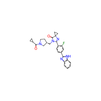 O=C(C1CC1)N1CC[C@@H](CN2C(=O)C3(CC3)N=C2c2ccc(-c3nc4ccccc4[nH]3)cc2F)C1